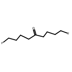 O=C(CCCCF)CCCCF